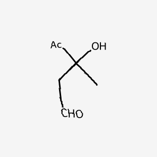 CC(=O)C(C)(O)CC=O